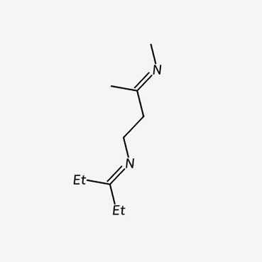 CCC(CC)=NCC/C(C)=N/C